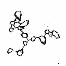 c1ccc(-c2cccc(-c3ccc(N(c4ccc(-c5cccc(-c6cccc7c6oc6ccccc67)c5)cc4)c4ccc(-c5cccc(-n6c7ccccc7c7ccc8c9ccccc9n(-c9ccccc9)c8c76)c5)cc4)cc3)c2)cc1